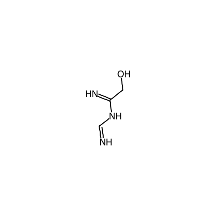 N=CNC(=N)CO